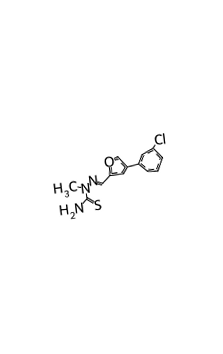 CN(N=Cc1cc(-c2cccc(Cl)c2)co1)C(N)=S